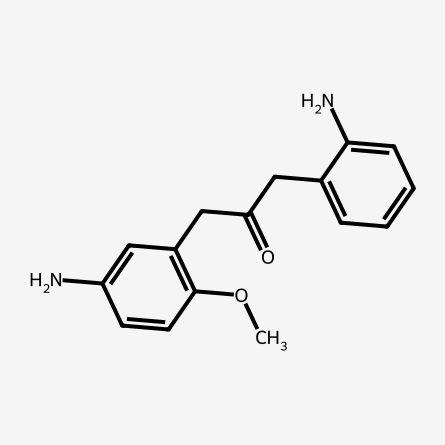 COc1ccc(N)cc1CC(=O)Cc1ccccc1N